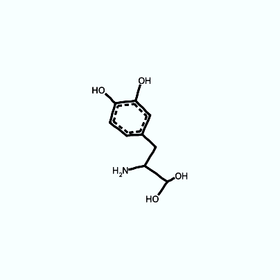 NC(Cc1ccc(O)c(O)c1)C(O)O